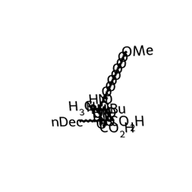 CCCCCCCCCCCCCCCCCCCC(=O)NC(CCC(=O)O)C(=O)N[C@@H](CCC(=O)O)C(=O)N[C@H](C(=O)N[C@@H](CCCCNC(=O)CCOCCOCCOCCOCCOCCOCCOCCOC)C(=O)N1CCN(C)CC1)[C@@H](C)CC